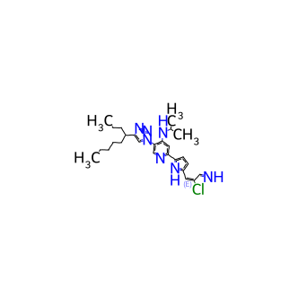 CCCCCC(CCC)c1cn(-c2cnc(-c3ccc(/C=C(/Cl)C=N)[nH]3)cc2NC(C)C)nn1